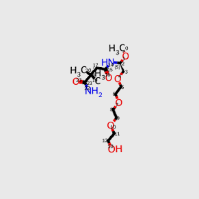 CO[C@@H](COCCOCCOCCO)NC(=O)[CH]C(C)(C)C(N)=O